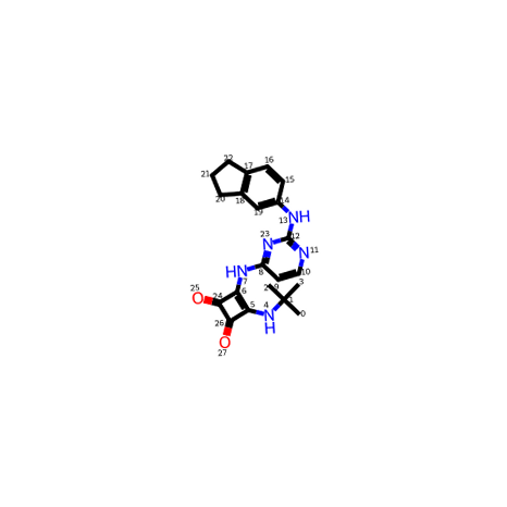 CC(C)(C)Nc1c(Nc2ccnc(Nc3ccc4c(c3)CCC4)n2)c(=O)c1=O